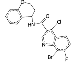 O=C(NC1CCOc2ccccc21)c1cnc2c(Br)c(F)ccc2c1Cl